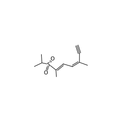 C#C/C(C)=C\C=C(/C)S(=O)(=O)C(C)C